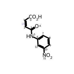 O=C(O)/C=C\C(=O)Nc1cccc([N+](=O)[O-])c1